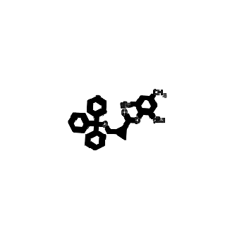 Cc1cc(C(C)(C)C)c(OC(=O)C2CC2COC(c2ccccc2)(c2ccccc2)c2ccccc2)c(C(C)(C)C)c1